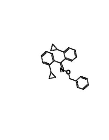 c1ccc(CON=C(c2ccccc2C2CC2)c2ccccc2C2CC2)cc1